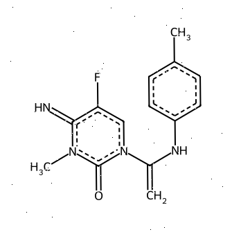 C=C(Nc1ccc(C)cc1)n1cc(F)c(=N)n(C)c1=O